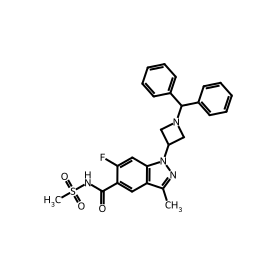 Cc1nn(C2CN(C(c3ccccc3)c3ccccc3)C2)c2cc(F)c(C(=O)NS(C)(=O)=O)cc12